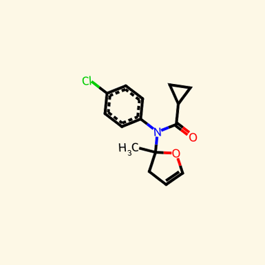 CC1(N(C(=O)C2CC2)c2ccc(Cl)cc2)CC=CO1